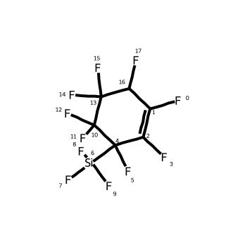 FC1=C(F)C(F)([Si](F)(F)F)C(F)(F)C(F)(F)C1F